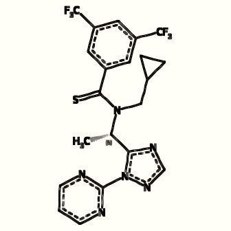 C[C@@H](c1ncnn1-c1ncccn1)N(CC1CC1)C(=S)c1cc(C(F)(F)F)cc(C(F)(F)F)c1